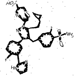 NS(=O)(=O)c1ccc(Cc2c(-c3ccc(F)c(-c4ncc[nH]4)c3)nn(-c3nc(C(=O)O)cs3)c2CC2CC2)cc1F